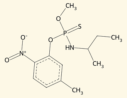 CCC(C)NP(=S)(OC)Oc1cc(C)ccc1[N+](=O)[O-]